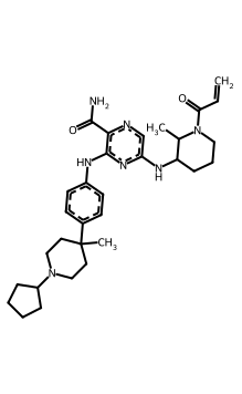 C=CC(=O)N1CCCC(Nc2cnc(C(N)=O)c(Nc3ccc(C4(C)CCN(C5CCCC5)CC4)cc3)n2)C1C